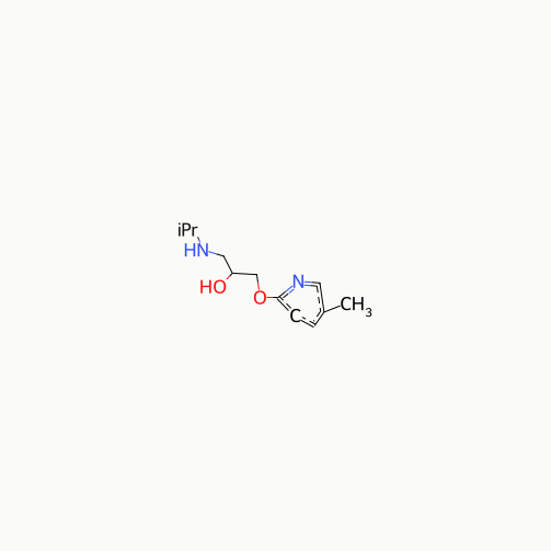 Cc1ccc(OCC(O)CNC(C)C)nc1